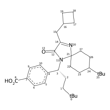 CC(C)(C)CC[C@H](c1ccc(C(=O)O)cc1)N1C(=O)C(CC2CCC2)=NC12CCC(C(C)(C)C)CC2